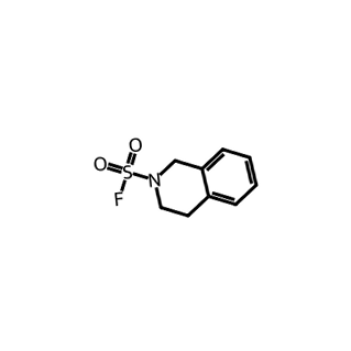 O=S(=O)(F)N1CCc2ccccc2C1